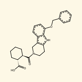 O=C(O)[C@@H]1CCCC[C@H]1C(=O)N1CCc2[nH]c3c(OCc4ccccc4)cccc3c2C1